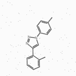 Cc1ccc(-n2cc(-c3ccccc3C)nn2)cc1